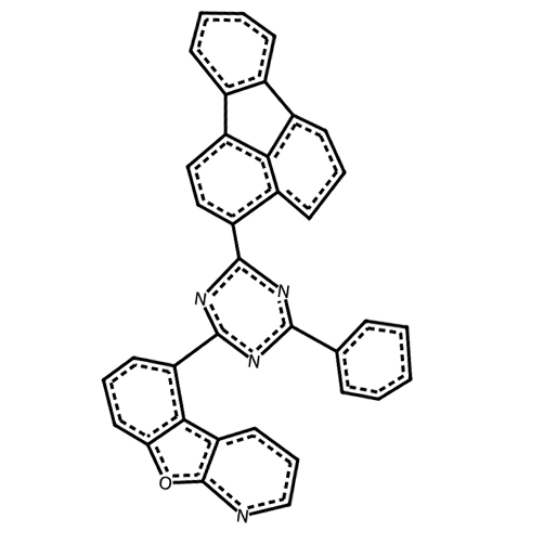 c1ccc(-c2nc(-c3ccc4c5c(cccc35)-c3ccccc3-4)nc(-c3cccc4oc5ncccc5c34)n2)cc1